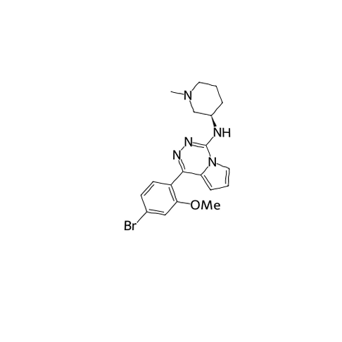 COc1cc(Br)ccc1-c1nnc(N[C@@H]2CCCN(C)C2)n2cccc12